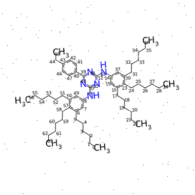 CCCCCCc1cc(Nc2nc(Nc3cc(CCCCCC)c(CCCCCC)c(CCCCCC)c3)nc(-c3ccc(CC)cc3)n2)cc(CCCCCC)c1CCCCCC